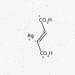 O=C(O)/C=C/C(=O)O.[Ag]